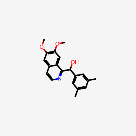 COc1cc2ccnc(C(O)c3cc(C)cc(C)c3)c2cc1OC